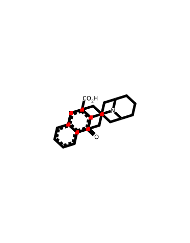 O=C(O)c1nc2ccccc2c(=O)n1C1CC2CCCC(C1)N2C1CC2CCCC(C2)C1